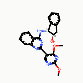 COc1ncc(-c2nc(N[C@H]3c4ccccc4C[C@H]3O)c3ccccc3n2)c(OC)n1